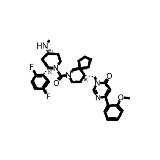 CN[C@@H]1CCN(C(=O)N2CC[C@@H](Cn3cnc(-c4ccccc4OC)cc3=O)C3(CCCC3)C2)[C@H](c2cc(F)ccc2F)C1